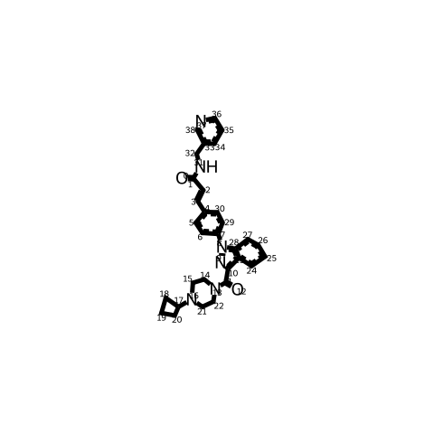 O=C(/C=C/c1ccc(-n2nc(C(=O)N3CCN(C4CCC4)CC3)c3ccccc32)cc1)NCc1cccnc1